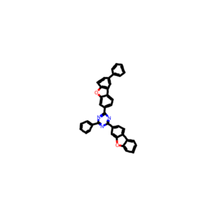 c1ccc(-c2ccc3oc4cc(-c5nc(-c6ccccc6)nc(-c6ccc7c(c6)oc6ccccc67)n5)ccc4c3c2)cc1